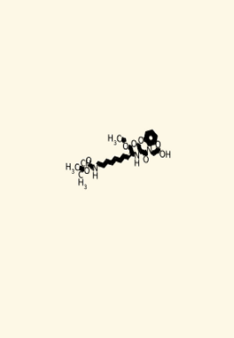 CCOC(=O)[C@H](CCCCCCCCNC(=O)OC(C)(C)C)NC1COc2ccccc2N(CC(=O)O)C1=O